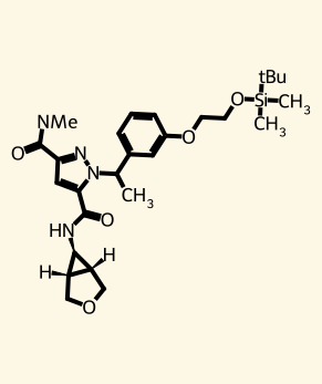 CNC(=O)c1cc(C(=O)N[C@H]2[C@@H]3COC[C@@H]32)n(C(C)c2cccc(OCCO[Si](C)(C)C(C)(C)C)c2)n1